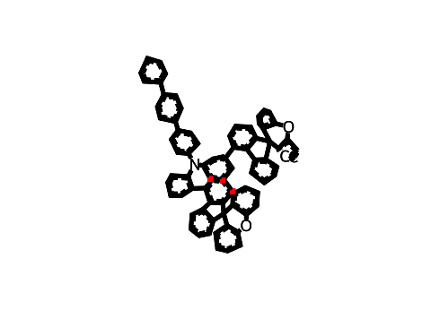 c1ccc(-c2ccc(-c3ccc(N(c4cccc(-c5cccc6c5-c5ccccc5C65c6ccccc6Oc6ccccc65)c4)c4ccccc4-c4cccc5c4-c4ccccc4C54c5ccccc5Oc5ccccc54)cc3)cc2)cc1